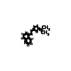 CC(C)N1CCC(CCc2cccc3ncccc23)C1